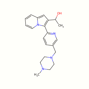 CC(O)c1cc2ccccn2c1-c1ccc(CN2CCN(C)CC2)cn1